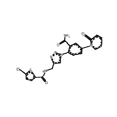 NC(=O)c1cc(-n2ccccc2=O)ccc1-n1cc(CNC(=O)c2ccc(Cl)s2)nn1